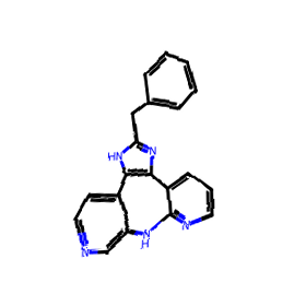 c1ccc(Cc2nc3c([nH]2)-c2ccncc2Nc2ncccc2-3)cc1